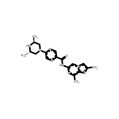 Cc1cn2cc(NC(=O)c3cnc(N4C[C@H](C)N[C@@H](C)C4)cn3)nc(C)c2n1